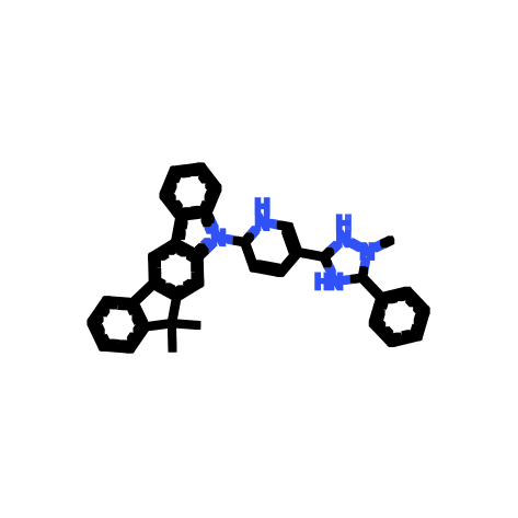 CN1NC(C2=CNC(n3c4ccccc4c4cc5c(cc43)C(C)(C)c3ccccc3-5)C=C2)NC1c1ccccc1